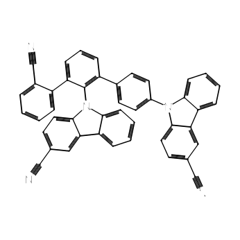 N#Cc1ccc2c(c1)c1ccccc1n2-c1ccc(-c2cccc(-c3ccccc3C#N)c2-n2c3ccccc3c3cc(C#N)ccc32)cc1